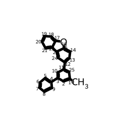 Cc1cc(-c2ccccc2)cc(-c2ccc3oc4ccccc4c3c2)c1